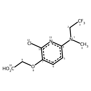 CN(CC(F)(F)F)c1ccc(OCC(=O)O)c(Cl)n1